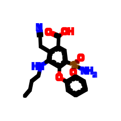 CCCCNc1c(CC#N)c(C(=O)O)cc(S(N)(=O)=O)c1Oc1ccccc1